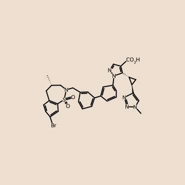 C[C@H]1Cc2ccc(Br)cc2S(=O)(=O)N(Cc2cccc(-c3cccc(-n4ncc(C(=O)O)c4[C@@H]4C[C@H]4c4cn(C)nn4)c3)c2)C1